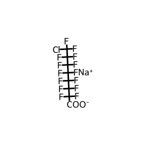 O=C([O-])C(F)(F)C(F)(F)C(F)(F)C(F)(F)C(F)(F)C(F)(F)C(F)(F)Cl.[Na+]